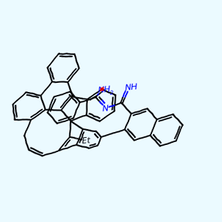 CCC1=C2/C=C\Cc3cccc4c3c3c(c5ccccc54)-c4ccccc4C13c1cc(-c3cc4ccccc4cc3C(=N)/N=C(\N)c3ccccc3)ccc12